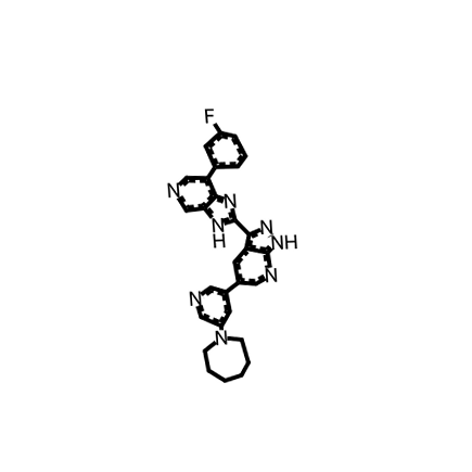 Fc1cccc(-c2cncc3[nH]c(-c4n[nH]c5ncc(-c6cncc(N7CCCCCC7)c6)cc45)nc23)c1